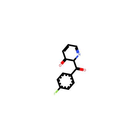 O=C1C=CC=NC1C(=O)c1ccc(F)cc1